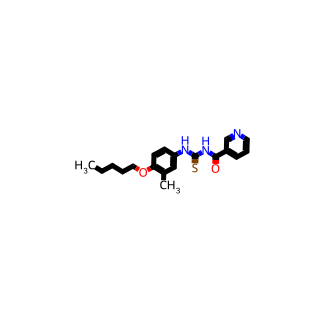 CCCCCOc1ccc(NC(=S)NC(=O)c2cccnc2)cc1C